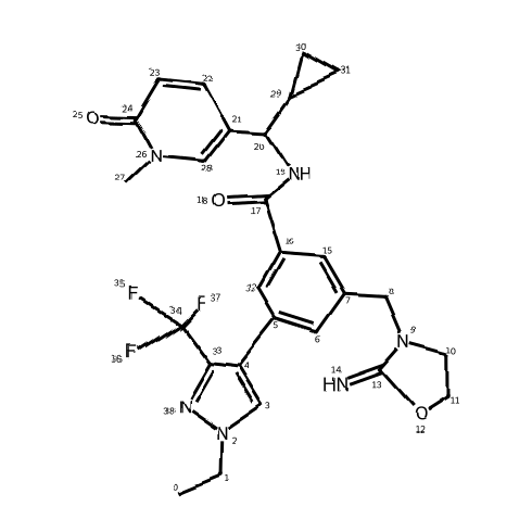 CCn1cc(-c2cc(CN3CCOC3=N)cc(C(=O)NC(c3ccc(=O)n(C)c3)C3CC3)c2)c(C(F)(F)F)n1